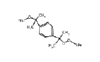 CC(C)(C)OOC(C)(C)c1ccc(C(C)(C)OC(C)(C)C)cc1